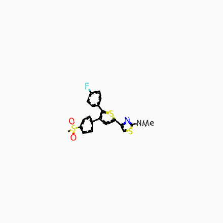 CNc1nc(-c2cc(-c3ccc(S(C)(=O)=O)cc3)c(-c3ccc(F)cc3)s2)cs1